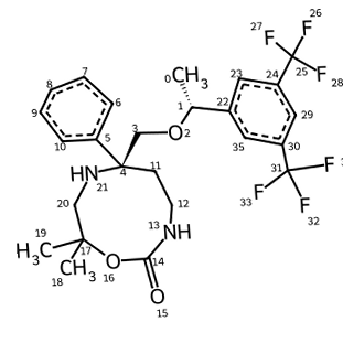 C[C@@H](OC[C@@]1(c2ccccc2)CCNC(=O)OC(C)(C)CN1)c1cc(C(F)(F)F)cc(C(F)(F)F)c1